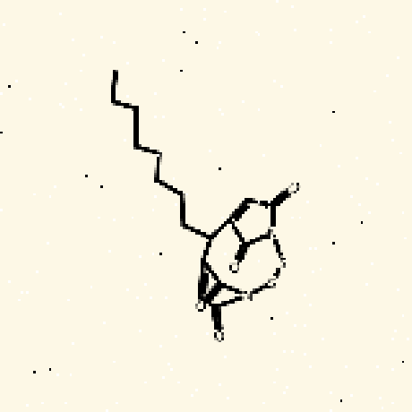 CCCCCCCCC1C2=CC(=O)N(SSN3C(=O)C=C1C3=O)C2=O